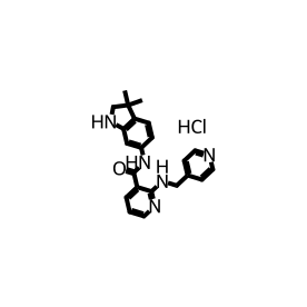 CC1(C)CNc2cc(NC(=O)c3cccnc3NCc3ccncc3)ccc21.Cl